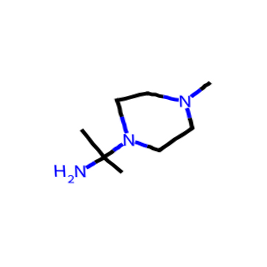 CN1CCN(C(C)(C)N)CC1